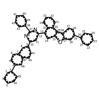 c1ccc(-c2ccc3cc(-c4cc(-c5cc6oc7cc(-c8ccccc8)ccc7c6c6ccccc56)nc(-c5ccccc5)n4)ccc3c2)cc1